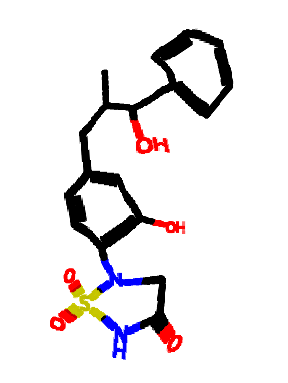 CC(Cc1ccc(N2CC(=O)NS2(=O)=O)c(O)c1)C(O)c1ccccc1